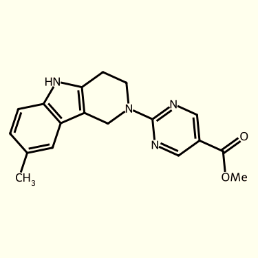 COC(=O)c1cnc(N2CCc3[nH]c4ccc(C)cc4c3C2)nc1